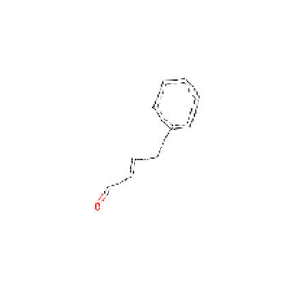 O=CC=CCc1ccccc1